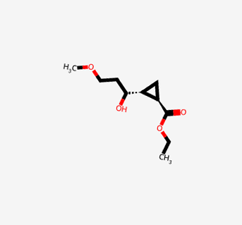 CCOC(=O)[C@@H]1C[C@H]1C(O)CCOC